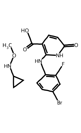 CONC1CC1.O=C(O)c1ccc(=O)[nH]c1Nc1ccc(Br)cc1F